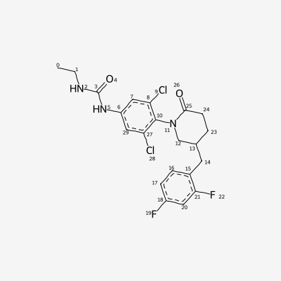 CCNC(=O)Nc1cc(Cl)c(N2CC(Cc3ccc(F)cc3F)CCC2=O)c(Cl)c1